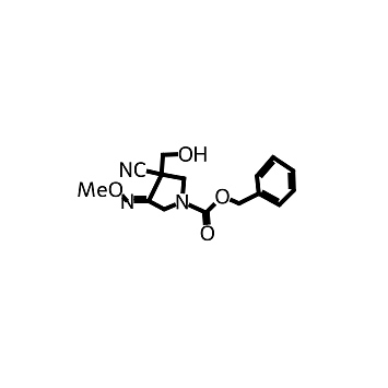 CON=C1CN(C(=O)OCc2ccccc2)CC1(C#N)CO